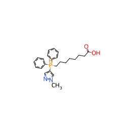 Cn1cc([PH](CCCCCCCC(=O)O)(c2ccccc2)c2ccccc2)cn1